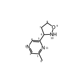 Cc1cncc(C2CCON2)n1